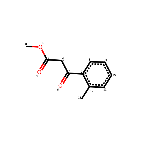 COC(=O)[CH]C(=O)c1ccccc1C